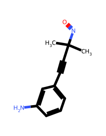 CC(C)(C#Cc1cccc(N)c1)N=O